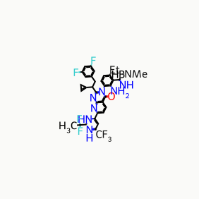 CCc1ccc(-n2c(C(Cc3cc(F)cc(F)c3)C3=CC3)nc3nc(/C(=C/C(=N)C(F)(F)F)NCC(C)(F)F)ccc3c2=O)c(N)c1C(=N)BNC